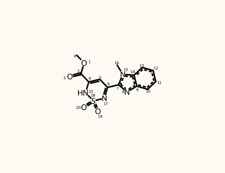 COC(=O)C1=CC(c2nc3ccccc3n2C)=NS(=O)(=O)N1